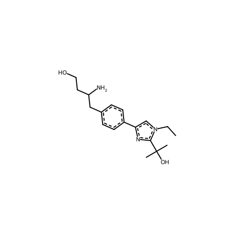 CCn1cc(-c2ccc(CC(N)CCO)cc2)nc1C(C)(C)O